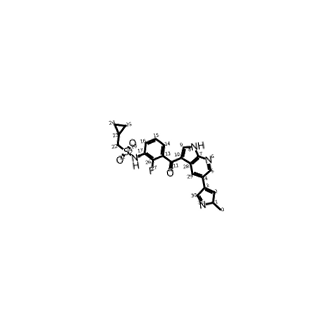 CC1C=C(c2cnc3[nH]cc(C(=O)c4cccc(NS(=O)(=O)CC5CC5)c4F)c3c2)C=N1